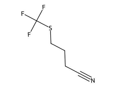 N#CCCCSC(F)(F)F